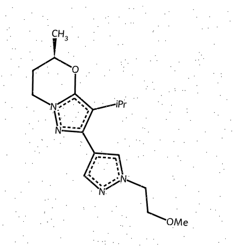 COCCn1cc(-c2nn3c(c2C(C)C)O[C@H](C)CC3)cn1